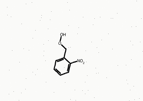 O=[N+]([O-])c1ccccc1COO